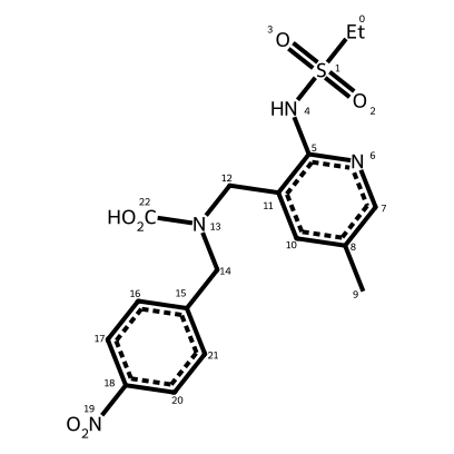 CCS(=O)(=O)Nc1ncc(C)cc1CN(Cc1ccc([N+](=O)[O-])cc1)C(=O)O